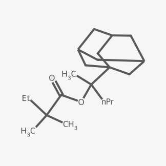 CCCC(C)(OC(=O)C(C)(C)CC)C12CC3CC(CC(C3)C1)C2